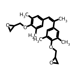 CC(=Cc1cc(C)c(OCC2CO2)c(C)c1)c1cc(C)c(OCC2CO2)c(C)c1